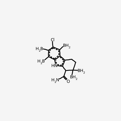 Bc1c(Cl)c(B)c2c3c([nH]c2c1B)C(C(N)=O)C(B)(B)CC3